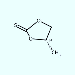 C[C@H]1COC(=S)O1